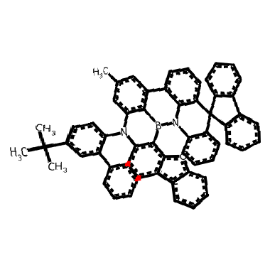 Cc1cc2c3c(c1)N(c1ccc(C(C)(C)C)cc1-c1ccccc1)c1ccc4c(oc5ccccc54)c1B3N1c3ccccc3C3(c4ccccc4-c4ccccc43)c3cccc-2c31